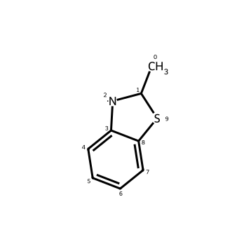 CC1[N]c2ccccc2S1